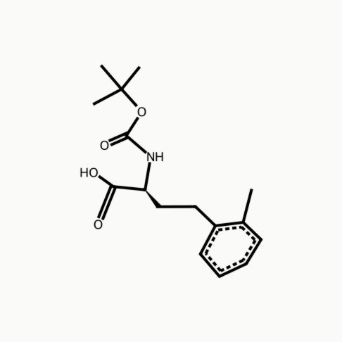 Cc1ccccc1CC[C@H](NC(=O)OC(C)(C)C)C(=O)O